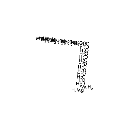 O.O.O.O.O.O.O.O.O.O.O.O.O.O.O.O.O.O.O.O.O.O.O.O.O.[MgH2].[MgH2].[MgH2].[MgH2].[MgH2]